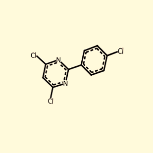 Clc1ccc(-c2nc(Cl)cc(Cl)n2)cc1